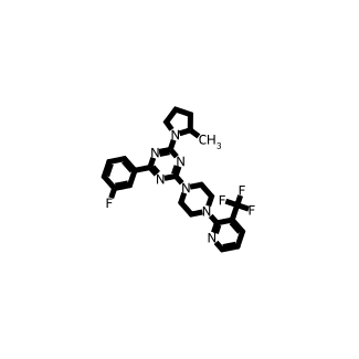 CC1CCCN1c1nc(-c2cccc(F)c2)nc(N2CCN(c3ncccc3C(F)(F)F)CC2)n1